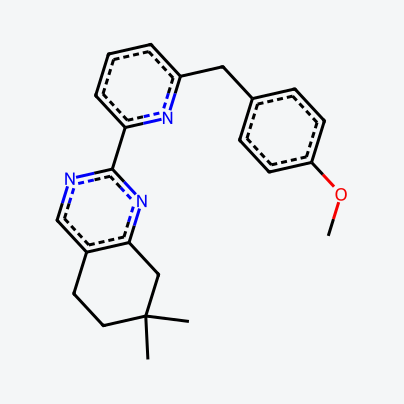 COc1ccc(Cc2cccc(-c3ncc4c(n3)CC(C)(C)CC4)n2)cc1